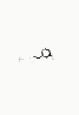 N[CH]Cc1cccc(Br)c1